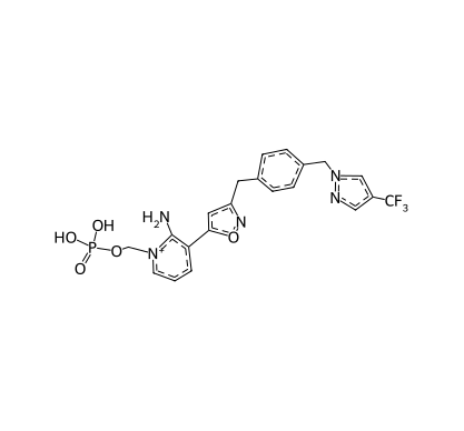 Nc1c(-c2cc(Cc3ccc(Cn4cc(C(F)(F)F)cn4)cc3)no2)ccc[n+]1COP(=O)(O)O